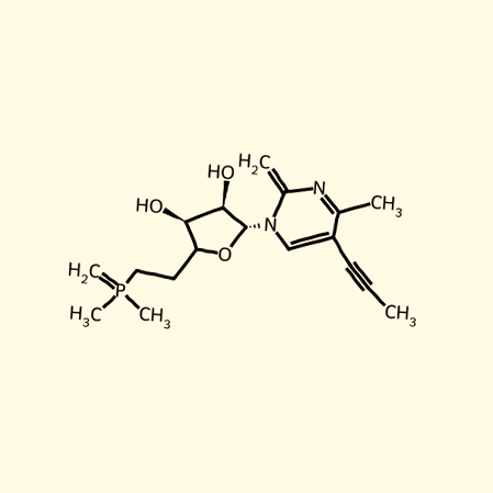 C=C1N=C(C)C(C#CC)=CN1[C@@H]1OC(CCP(=C)(C)C)[C@@H](O)[C@H]1O